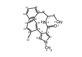 Cn1cc(C(=O)NC(CO)Cc2ccccc2)c(-c2ccccc2F)n1